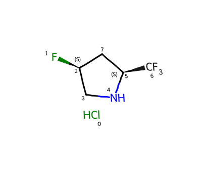 Cl.F[C@@H]1CN[C@H](C(F)(F)F)C1